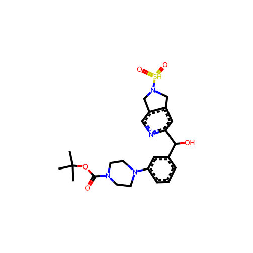 CC(C)(C)OC(=O)N1CCN(c2cccc(C(O)c3cc4c(cn3)CN([SH](=O)=O)C4)c2)CC1